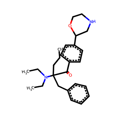 CCCC(Cc1ccccc1)(C(=O)c1ccc(C2CNCCO2)cc1)N(CC)CC